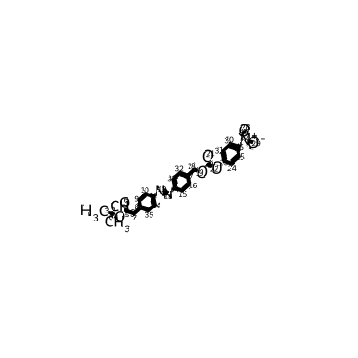 CC(C)(C)OC(=O)Cc1ccc(N=Nc2ccc(COC(=O)Oc3ccc([N+](=O)[O-])cc3)cc2)cc1